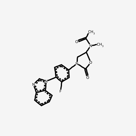 CC(=O)N(C)C1CN(c2ccc(-n3cnc4ccccc43)c(F)c2)C(=O)O1